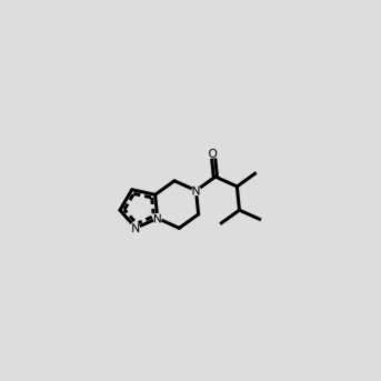 CC(C)C(C)C(=O)N1CCn2nccc2C1